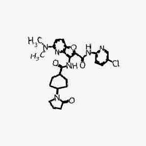 CN(C)c1ccc2oc(C(=O)Nc3ccc(Cl)cn3)c(NC(=O)C3CCC(N4CCCC4=O)CC3)c2n1